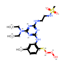 CS(=O)(=O)NCCNc1nc(Nc2cc(S(=O)(=O)O)ccc2SOOO)nc(N(CC(=O)O)CC(=O)O)n1